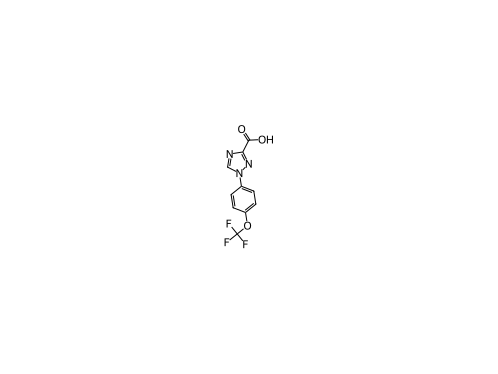 O=C(O)c1ncn(-c2ccc(OC(F)(F)F)cc2)n1